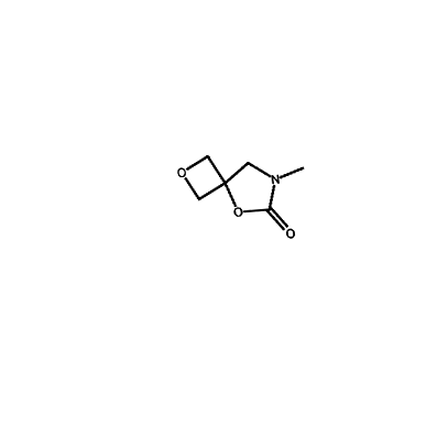 CN1CC2(COC2)OC1=O